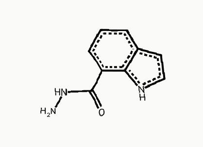 NNC(=O)c1cccc2cc[nH]c12